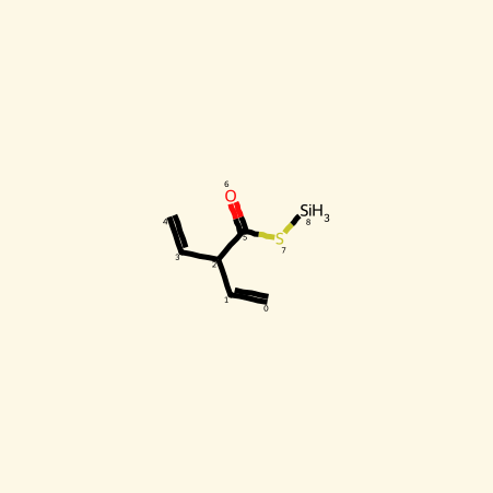 C=CC(C=C)C(=O)S[SiH3]